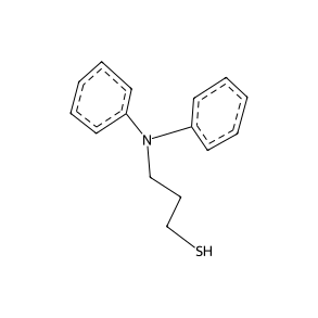 SCCCN(c1ccccc1)c1ccccc1